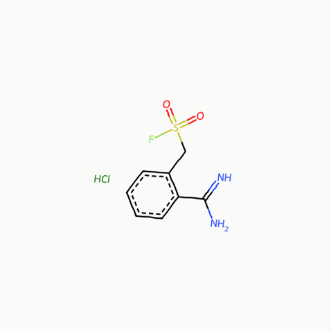 Cl.N=C(N)c1ccccc1CS(=O)(=O)F